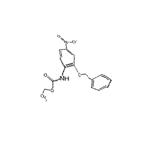 CCOC(=O)Nc1ccc([N+](=O)[O-])cc1OCc1ccccc1